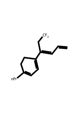 C=C/C=C(\CC(F)(F)F)C1=CC=C(CCC)CC1